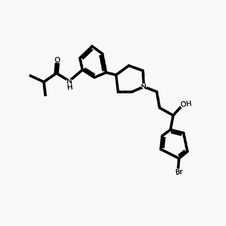 CC(C)C(=O)Nc1cccc(C2CCN(CCC(O)c3ccc(Br)cc3)CC2)c1